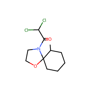 CC1CCCCC12OCCN2C(=O)C(Cl)Cl